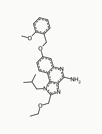 CCOCc1nc2c(N)nc3cc(OCc4ccccc4OC)ccc3c2n1CC(C)C